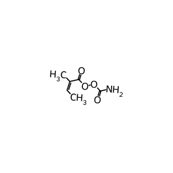 CC=C(C)C(=O)OOC(N)=O